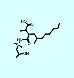 CCCCCCC(C)CC(C(=O)N[N+](C)(C)CC(C)O)C(C)C(=O)O